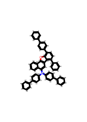 c1ccc(-c2ccc(-c3ccc(-c4ccccc4)c4c3oc3c5ccccc5c(N(c5ccc(-c6ccccc6)cc5)c5ccc(-c6ccccc6)cc5)cc34)cc2)cc1